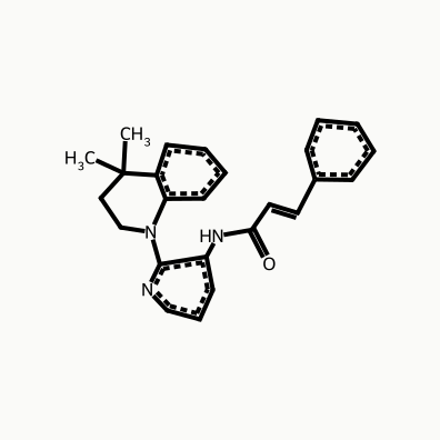 CC1(C)CCN(c2ncccc2NC(=O)/C=C/c2ccccc2)c2ccccc21